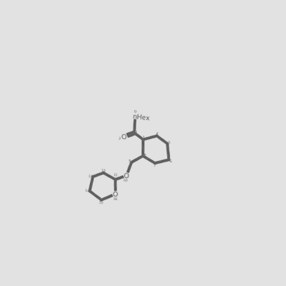 CCCCCCC(=O)C1CCCCC1COC1CCCCO1